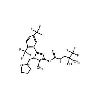 Cc1c(OC(=O)NCC(C)(O)C(F)(F)F)cc(-c2cc(C(F)(F)F)ccc2C(F)(F)F)n1C[C@H]1CCCO1